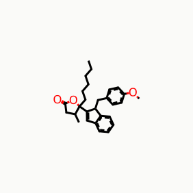 CCCCCCC1(C2=Cc3ccccc3C2Cc2ccc(OC)cc2)OC(=O)CC1C